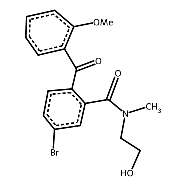 COc1ccccc1C(=O)c1ccc(Br)cc1C(=O)N(C)CCO